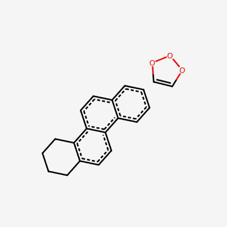 C1=COOO1.c1ccc2c(c1)ccc1c3c(ccc12)CCCC3